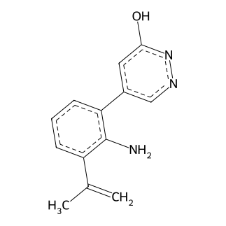 C=C(C)c1cccc(-c2cnnc(O)c2)c1N